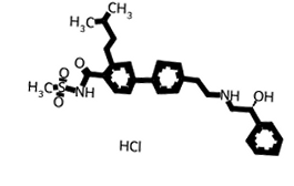 CC(C)CCc1cc(-c2ccc(CCNC[C@H](O)c3ccccc3)cc2)ccc1C(=O)NS(C)(=O)=O.Cl